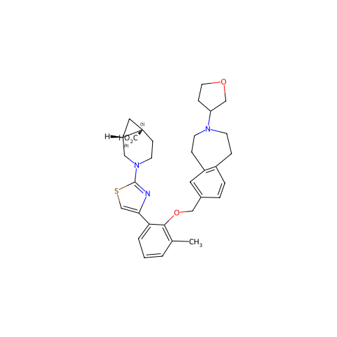 Cc1cccc(-c2csc(N3CC[C@@]4(C(=O)O)C[C@H]4C3)n2)c1OCc1ccc2c(c1)CCN(C1CCOC1)CC2